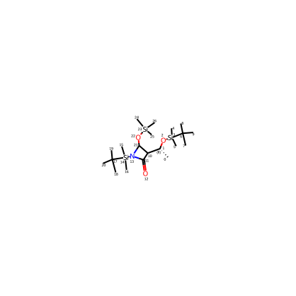 C[C@@H](O[Si](C)(C)C(C)(C)C)C1C(=O)N([Si](C)(C)C(C)(C)C)C1O[Si](C)(C)C